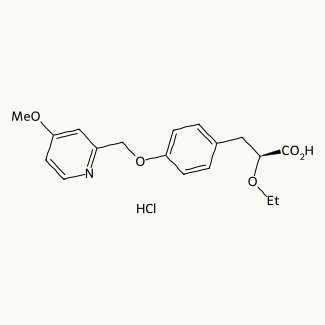 CCO[C@@H](Cc1ccc(OCc2cc(OC)ccn2)cc1)C(=O)O.Cl